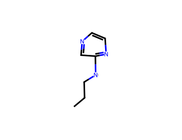 CCC[N]c1cnccn1